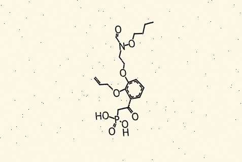 C=CCOc1c(OCCN(C=O)OCCCC)cccc1C(=O)CP(=O)(O)O